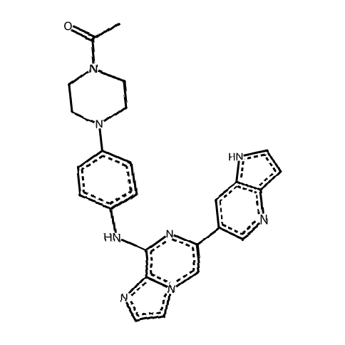 CC(=O)N1CCN(c2ccc(Nc3nc(-c4cnc5cc[nH]c5c4)cn4ccnc34)cc2)CC1